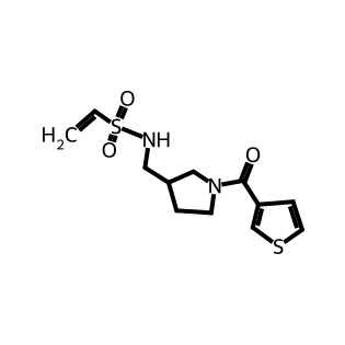 C=CS(=O)(=O)NCC1CCN(C(=O)c2ccsc2)C1